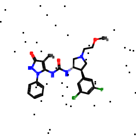 COCCN1C[C@@H](NC(=O)Nc2c(C)c(=O)[nH]n2-c2ccccc2)[C@H](c2cc(F)cc(Cl)c2)C1